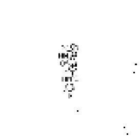 Cc1cc(NC(=O)c2c(C)c(C(=O)C(=O)N[C@H](C(=O)OC(C)(C)C)C(C)(C)C)n(C)c2C)ccc1F